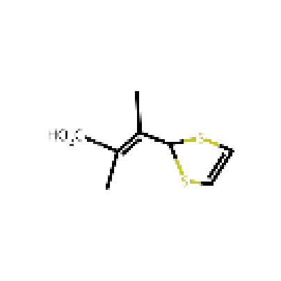 CC(C(=O)O)=C(C)C1SC=CS1